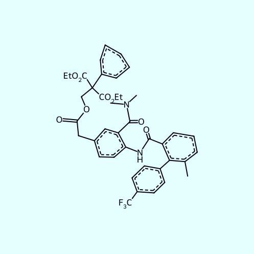 CCOC(=O)C(COC(=O)Cc1ccc(NC(=O)c2cccc(C)c2-c2ccc(C(F)(F)F)cc2)c(C(=O)N(C)C)c1)(C(=O)OCC)c1ccccc1